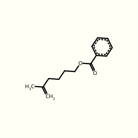 C=C(C)CCCCOC(=O)c1ccccc1